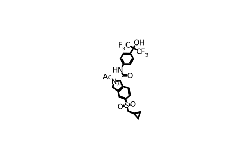 CC(=O)N1Cc2cc(S(=O)(=O)CC3CC3)ccc2[C@H]1C(=O)Nc1ccc(C(O)(C(F)(F)F)C(F)(F)F)cc1